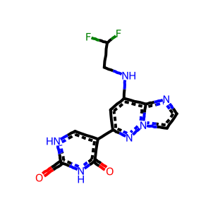 O=c1[nH]cc(-c2cc(NCC(F)F)c3nccn3n2)c(=O)[nH]1